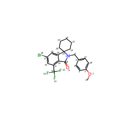 COc1ccc(CN2C(=O)c3c(C(F)(F)F)cc(Br)cc3C23CCCCC3)cc1